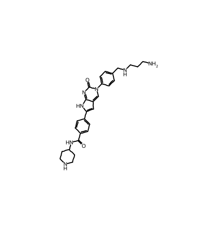 NCCCNCc1ccc(-n2cc3cc(-c4ccc(C(=O)NC5CCNCC5)cc4)[nH]c3nc2=O)cc1